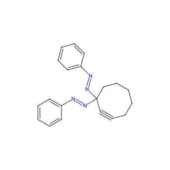 C1#CC(N=Nc2ccccc2)(N=Nc2ccccc2)CCCCC1